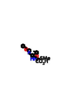 CSCCC(NC(=O)c1ccc(CN2CCCC(OCc3ccccc3)C2)cc1-c1ccccc1C)C(=O)O